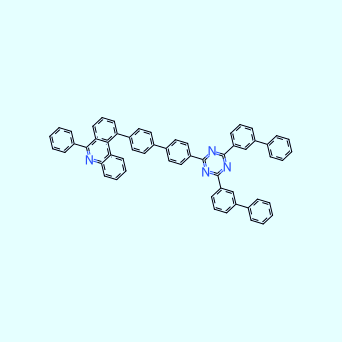 c1ccc(-c2cccc(-c3nc(-c4ccc(-c5ccc(-c6cccc7c(-c8ccccc8)nc8ccccc8c67)cc5)cc4)nc(-c4cccc(-c5ccccc5)c4)n3)c2)cc1